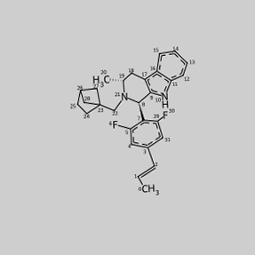 C/C=C/c1cc(F)c([C@@H]2c3[nH]c4ccccc4c3C[C@@H](C)N2CC23CCC(C2)C3)c(F)c1